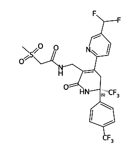 CS(=O)(=O)CC(=O)NCC1=C(c2ccc(C(F)F)cn2)C[C@](c2ccc(C(F)(F)F)cc2)(C(F)(F)F)NC1=O